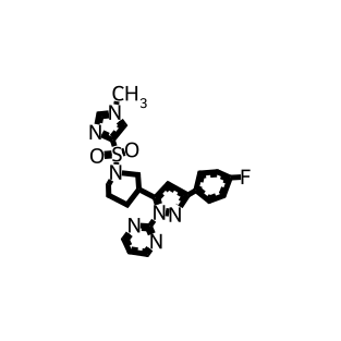 Cn1cnc(S(=O)(=O)N2CCCC(c3cc(-c4ccc(F)cc4)nn3-c3ncccn3)C2)c1